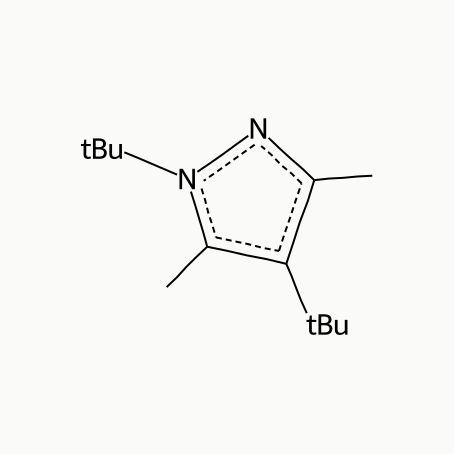 Cc1nn(C(C)(C)C)c(C)c1C(C)(C)C